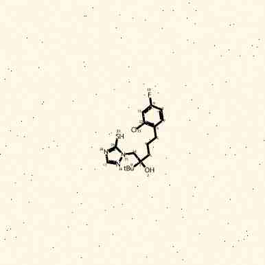 CC(C)(C)C(O)(CCCc1ccc(F)cc1Cl)Cn1ncnc1S